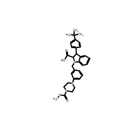 COC(=O)N1CCN(c2cccc(CN3c4ccccc4C(c4ccc(C(C)(C)C)cc4)C3C(=O)O)c2)CC1